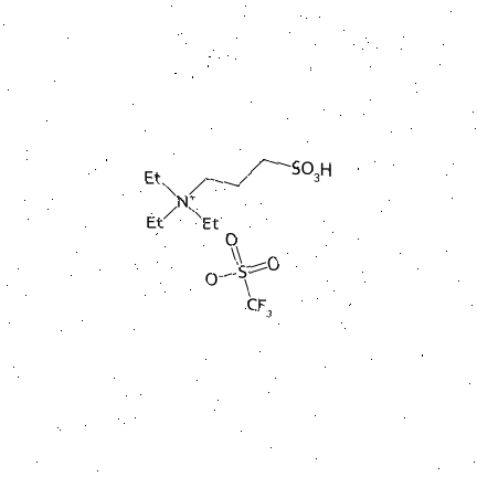 CC[N+](CC)(CC)CCCS(=O)(=O)O.O=S(=O)([O-])C(F)(F)F